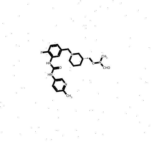 Cc1ccc(NC(=O)Nc2cc(CN3CCC[C@@H](CON(C)C=O)C3)ccc2F)cn1